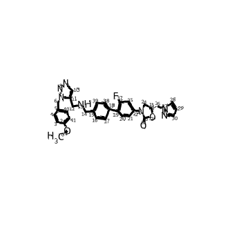 COc1ccc(Cn2nncc2CNCc2ccc(-c3ccc(N4C[C@H](Cn5cccn5)OC4=O)cc3F)cc2)cc1